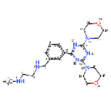 CNCCNCc1cccc(-c2nc(N3CCOCC3)nc(N3CCOCC3)n2)c1